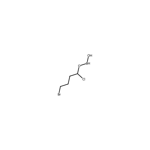 OBOC(Cl)CCCBr